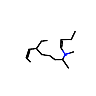 C/C=C\C(CC)CCCC(C)N(C)/C=C\CC